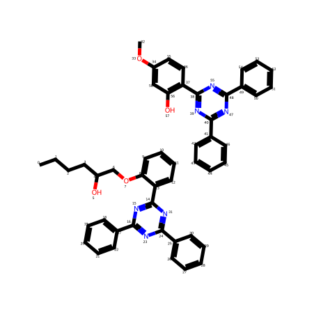 CCCCC(O)COc1ccccc1-c1nc(-c2ccccc2)nc(-c2ccccc2)n1.COc1ccc(-c2nc(-c3ccccc3)nc(-c3ccccc3)n2)c(O)c1